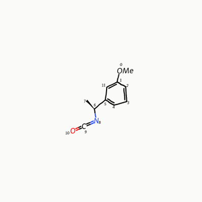 COc1cccc([C@H](C)N=C=O)c1